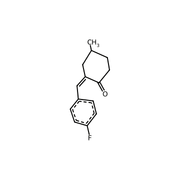 CC1CCC(=O)/C(=C\c2ccc(F)cc2)C1